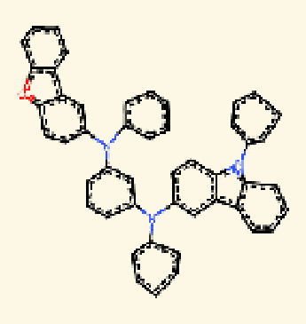 c1ccc(N(c2cccc(N(c3ccccc3)c3ccc4c(c3)c3ccccc3n4-c3ccccc3)c2)c2ccc3oc4ccccc4c3c2)cc1